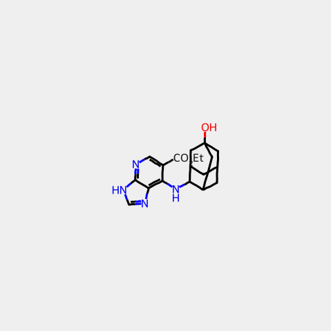 CCOC(=O)c1cnc2[nH]cnc2c1NC1C2CC3CC1CC(O)(C3)C2